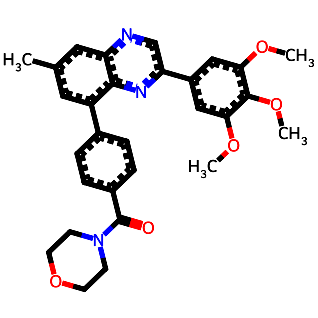 COc1cc(-c2cnc3cc(C)cc(-c4ccc(C(=O)N5CCOCC5)cc4)c3n2)cc(OC)c1OC